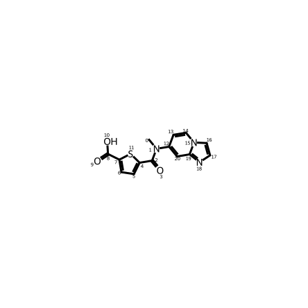 CN(C(=O)c1ccc(C(=O)O)s1)c1ccn2ccnc2c1